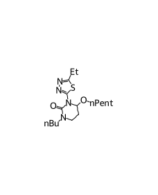 CCCCCOC1CCN(CCCC)C(=O)N1c1nnc(CC)s1